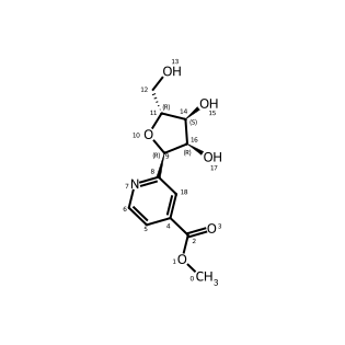 COC(=O)c1ccnc([C@H]2O[C@H](CO)[C@@H](O)[C@H]2O)c1